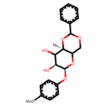 COc1ccc(O[C@@H]2OC3COC(c4ccccc4)O[C@@H]3C(O)[C@@H]2O)cc1